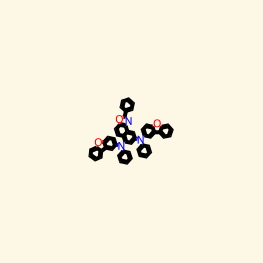 c1ccc(-c2nc3c(ccc4c(N(c5ccccc5)c5ccc6oc7ccccc7c6c5)cc(N(c5ccccc5)c5ccc6oc7ccccc7c6c5)cc43)o2)cc1